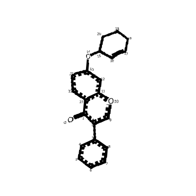 O=c1c(-c2ccccc2)coc2cc(OC3C=CCCC3)ccc12